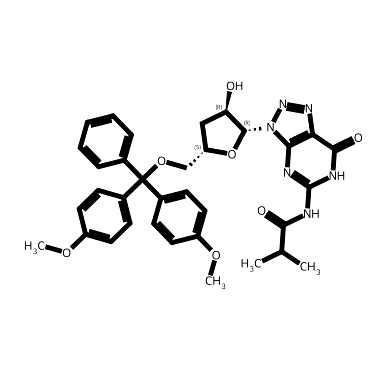 COc1ccc(C(OC[C@@H]2C[C@@H](O)[C@H](n3nnc4c(=O)[nH]c(NC(=O)C(C)C)nc43)O2)(c2ccccc2)c2ccc(OC)cc2)cc1